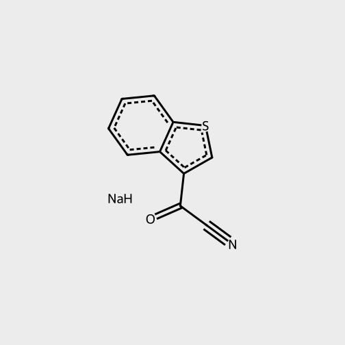 N#CC(=O)c1csc2ccccc12.[NaH]